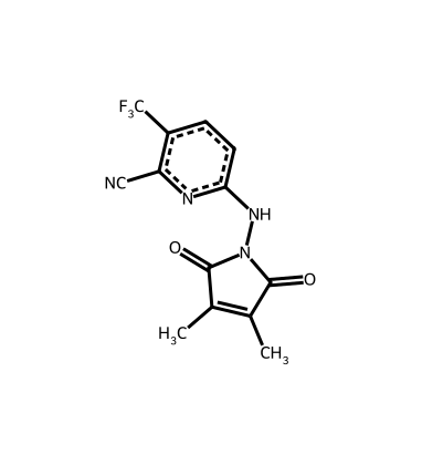 CC1=C(C)C(=O)N(Nc2ccc(C(F)(F)F)c(C#N)n2)C1=O